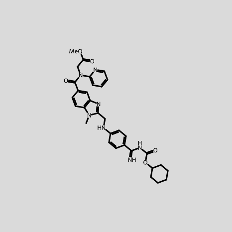 COC(=O)CN(C(=O)c1ccc2c(c1)nc(CNc1ccc(C(=N)NC(=O)OC3CCCCC3)cc1)n2C)c1ccccn1